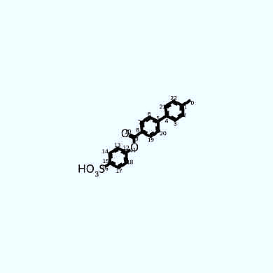 Cc1ccc(-c2ccc(C(=O)Oc3ccc(S(=O)(=O)O)cc3)cc2)cc1